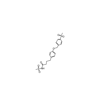 CS(=O)(=O)NC(=O)CCCc1ccc(OCc2ccc(S(C)(=O)=O)cc2)cc1